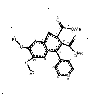 CCOc1cc2cc(C(=O)OC)c(C(=O)OC)c(-c3ccncc3)c2cc1OCC